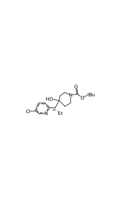 CC[C@H](c1ccc(Cl)cn1)C1(O)CCN(C(=O)OC(C)(C)C)CC1